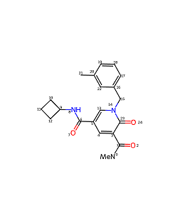 CNC(=O)c1cc(C(=O)NC2CCC2)cn(Cc2cccc(C)c2)c1=O